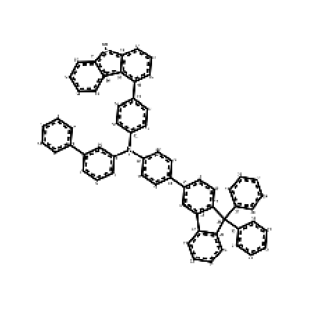 c1ccc(-c2cccc(N(c3ccc(-c4ccc5c(c4)-c4ccccc4C5(c4ccccc4)c4ccccc4)cc3)c3ccc(-c4cccc5sc6ccccc6c45)cc3)c2)cc1